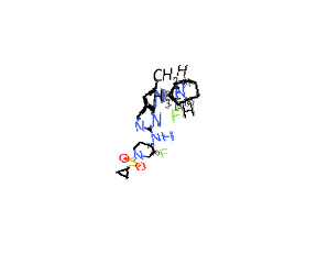 Cc1cc2cnc(N[C@@H]3CCN(S(=O)(=O)C4CC4)C[C@H]3F)nc2n1[C@@H]1C[C@H]2CC[C@@H]([C@@H]1F)N2C